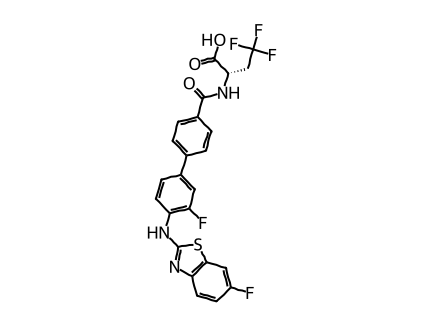 O=C(N[C@@H](CC(F)(F)F)C(=O)O)c1ccc(-c2ccc(Nc3nc4ccc(F)cc4s3)c(F)c2)cc1